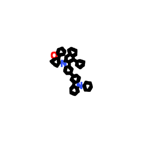 c1ccc(-c2c3ccccc3cc3c2c2cc(-c4ccc5c(c4)c4ccccc4n5-c4ccccc4)ccc2n3-c2cccc3oc4ccccc4c23)cc1